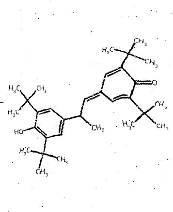 CC(C=C1C=C(C(C)(C)C)C(=O)C(C(C)(C)C)=C1)c1cc(C(C)(C)C)c(O)c(C(C)(C)C)c1